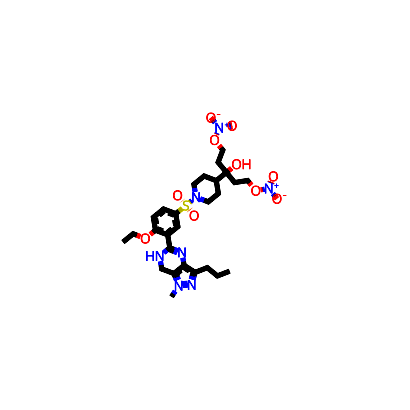 CCCc1nn(C)c2c1N=C(c1cc(S(=O)(=O)N3CCC(C(O)(CCO[N+](=O)[O-])CCO[N+](=O)[O-])CC3)ccc1OCC)NC2